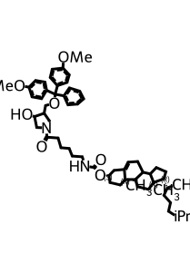 COc1ccc(C(OCC2CN(C(=O)CCCCCNC(=O)O[C@H]3CC[C@@]4(C)C(=CCC5C4CC[C@@]4(C)C5CC[C@@H]4C(C)CCCC(C)C)C3)CC2O)(c2ccccc2)c2ccc(OC)cc2)cc1